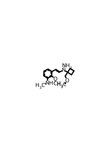 CNc1cccc(/C=C/N(N)C2(COC)CCC2)c1OC